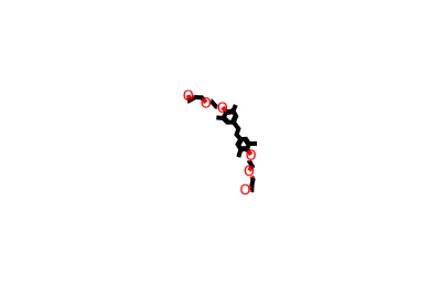 Cc1cc(CCc2cc(C)c(OCCOCC3CO3)c(C)c2)cc(C)c1OCCOCC1CO1